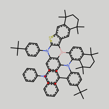 CC(C)(C)c1ccc(N2c3cc(N(c4ccccc4)c4ccccc4)cc4c3B(c3ccc5c(c3N4c3ccc(C(C)(C)C)cc3-c3ccccc3)C(C)(C)CCC5(C)C)c3c2sc2cc4c(cc32)C(C)(C)CCC4(C)C)cc1